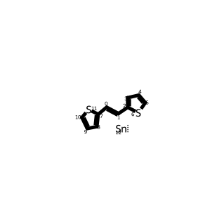 C(=Cc1cccs1)c1cccs1.[Sn]